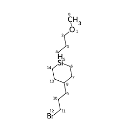 COCCC[SiH]1CCC(CCCBr)CC1